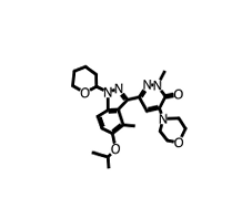 Cc1c(OC(C)C)ccc2c1c(-c1cc(N3CCOCC3)c(=O)n(C)n1)nn2C1CCCCO1